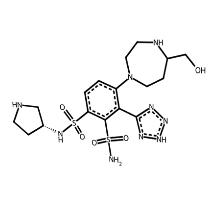 NS(=O)(=O)c1c(S(=O)(=O)N[C@@H]2CCNC2)ccc(N2CCNC(CO)CC2)c1-c1nn[nH]n1